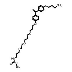 CC(C)(C)OC(=O)NCCCOCCOCCCOCCCNc1ccc(C(=O)c2ccc(OCCCN)cc2)cc1